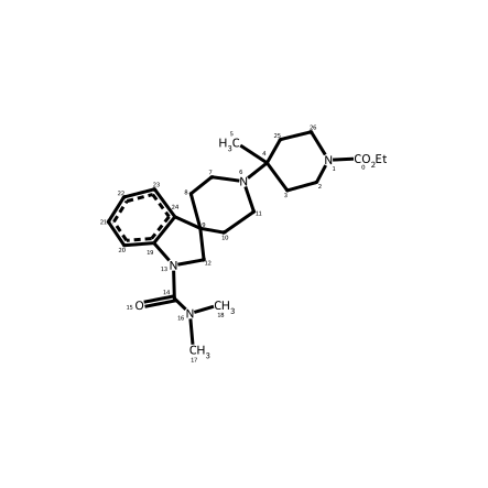 CCOC(=O)N1CCC(C)(N2CCC3(CC2)CN(C(=O)N(C)C)c2ccccc23)CC1